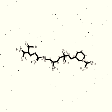 C=C(CCC(C(=O)Cl)C(C)C)NCCC(C)CCC(C)(C)CCC1CCCN(C(C)C)C1